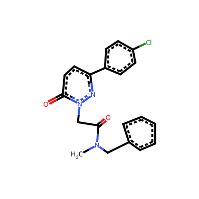 CN(Cc1ccccc1)C(=O)Cn1nc(-c2ccc(Cl)cc2)ccc1=O